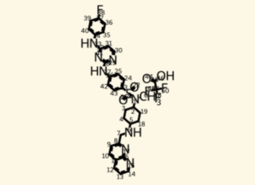 CN(C1CCC(NCc2ccc3cccnc3n2)CC1)S(=O)(=O)c1ccc(Nc2nccc(Nc3ccc(F)cc3)n2)cc1.O=C(O)C(F)(F)F